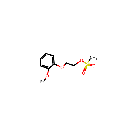 CC(C)Oc1ccccc1OCCOS(C)(=O)=O